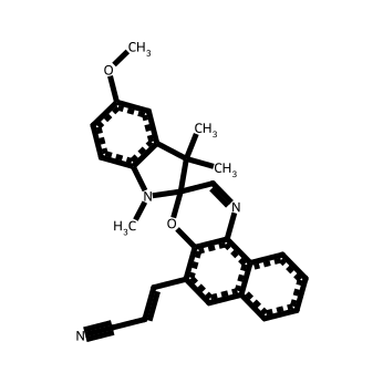 COc1ccc2c(c1)C(C)(C)C1(C=Nc3c(c(C=CC#N)cc4ccccc34)O1)N2C